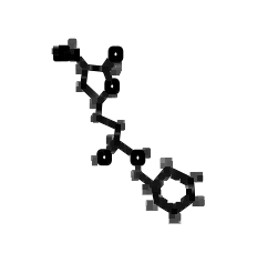 CC(C)(C)C1CC(CCC(=O)OCc2ccccc2)OC1=O